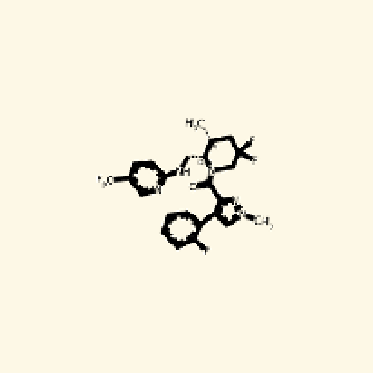 C[C@@H]1CC(F)(F)CN(C(=O)c2nn(C)cc2-c2ccccc2F)[C@@H]1CNc1ccc(C(F)(F)F)cn1